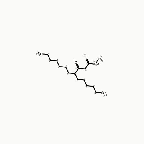 CCCCCCCC(CCCCCC)C(=O)CC(=O)NC